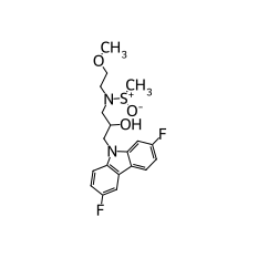 COCCN(CC(O)Cn1c2ccc(F)cc2c2ccc(F)cc21)[S+](C)[O-]